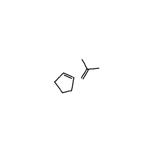 C1=CCCC1.C=C(C)C